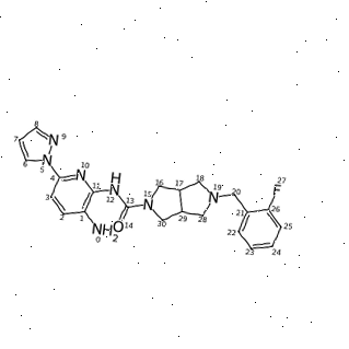 Nc1ccc(-n2cccn2)nc1NC(=O)N1CC2CN(Cc3ccccc3F)CC2C1